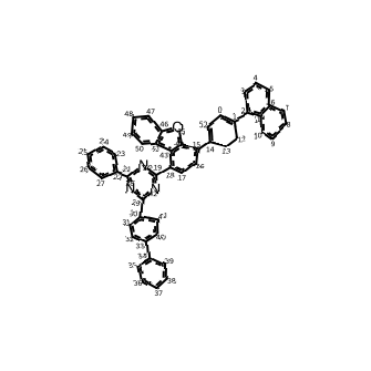 C1=C(c2cccc3ccccc23)CCC(c2ccc(-c3nc(-c4ccccc4)nc(-c4ccc(-c5ccccc5)cc4)n3)c3c2oc2ccccc23)=C1